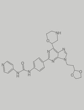 O=C(Nc1ccncc1)Nc1ccc(-c2nc(C3CNCCO3)c3ncn(CCC4OCCO4)c3n2)cc1